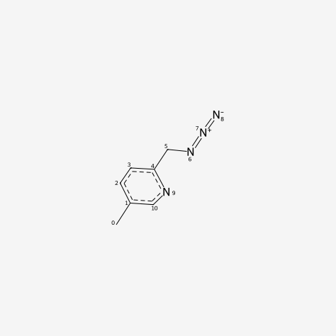 Cc1ccc(CN=[N+]=[N-])nc1